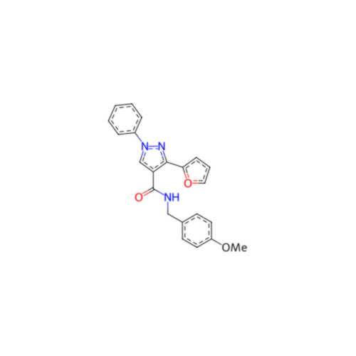 COc1ccc(CNC(=O)c2cn(-c3ccccc3)nc2-c2ccco2)cc1